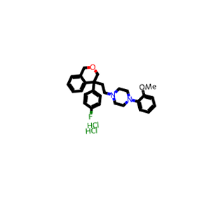 COc1ccccc1N1CCN(CCC2(c3ccc(F)cc3)COCc3ccccc32)CC1.Cl.Cl